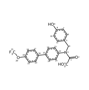 O=C(O)C(=O)N(Cc1ccc(O)cc1)c1ccc(-c2ccc(OC(F)(F)F)cc2)cc1